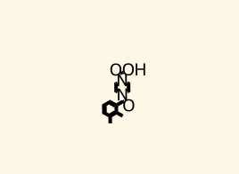 Cc1cccc(C(=O)N2CCN(C(=O)O)CC2)c1C